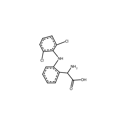 NC(C(=O)O)c1ccccc1Nc1c(Cl)cccc1Cl